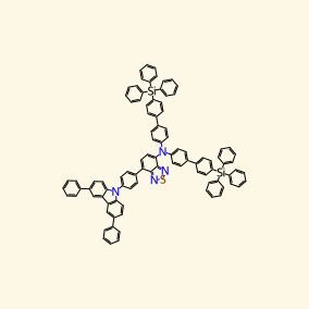 c1ccc(-c2ccc3c(c2)c2cc(-c4ccccc4)ccc2n3-c2ccc(-c3ccc(N(c4ccc(-c5ccc([Si](c6ccccc6)(c6ccccc6)c6ccccc6)cc5)cc4)c4ccc(-c5ccc([Si](c6ccccc6)(c6ccccc6)c6ccccc6)cc5)cc4)c4nsnc34)cc2)cc1